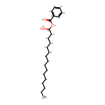 CC(C)CCCCCCCCCCCCCCC(O)OC(=O)c1ccccc1